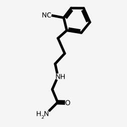 N#Cc1ccccc1CCCNCC(N)=O